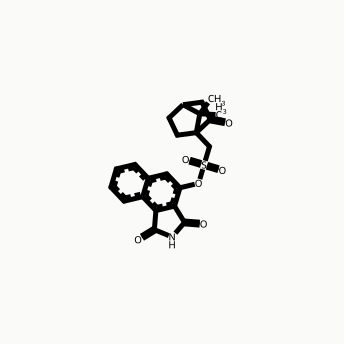 CC1(C)C2CCC1(CS(=O)(=O)Oc1cc3ccccc3c3c1C(=O)NC3=O)C(=O)C2